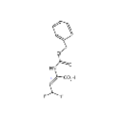 O=C(N/C(=C/C(F)F)C(=O)O)OCc1ccccc1